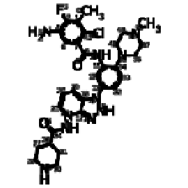 Cc1c(F)c(N)cc(C(=O)Nc2cc(N3NN=C4C3=CC=CN4NC(=O)C3CCNCC3)ccc2N2CCN(C)CC2)c1Cl